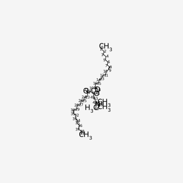 CCCCCCCC/C=C\CCCCCCCC(=O)CC(C(=O)CCCCCCC/C=C\CCCCCCCC)C(=O)CCC[N+](C)(C)C